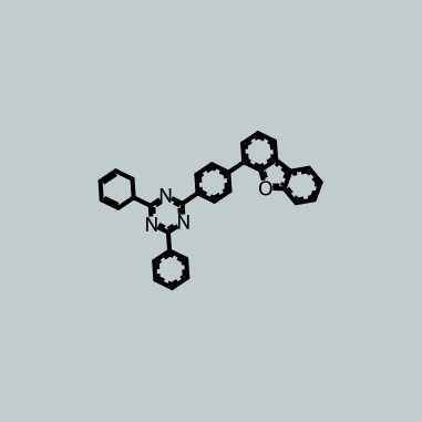 C1=CCC(c2nc(-c3ccccc3)nc(-c3ccc(-c4cccc5c4oc4ccccc45)cc3)n2)C=C1